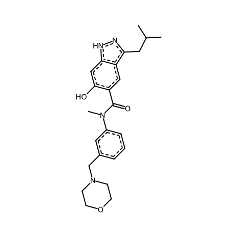 CC(C)Cc1n[nH]c2cc(O)c(C(=O)N(C)c3cccc(CN4CCOCC4)c3)cc12